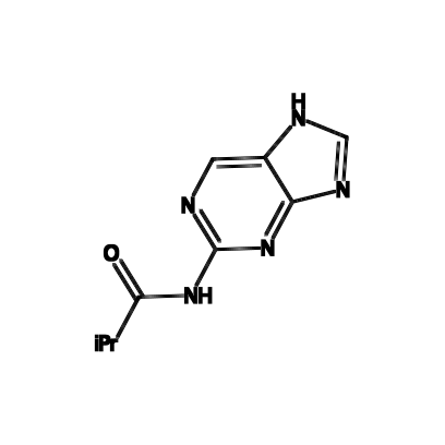 CC(C)C(=O)Nc1ncc2[nH]cnc2n1